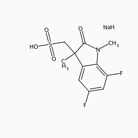 CN1C(=O)C(C)(CS(=O)(=O)O)c2cc(F)cc(F)c21.[NaH]